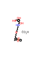 CC(=O)O.Cc1cc(CCCCOCCCCCCNC[C@H](O)c2ccc(O)c(CO)c2)cc(S(=O)(=O)C2CCCC2)c1